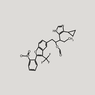 CCC(c1[nH]cnc1C1CC1)C(Cc1ccc2oc(-c3ccccc3[N+](=O)[O-])c(C(F)(F)F)c2c1)OC=O